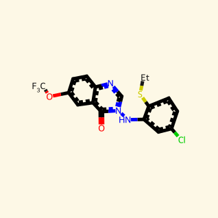 CCSc1ccc(Cl)cc1Nn1cnc2ccc(OC(F)(F)F)cc2c1=O